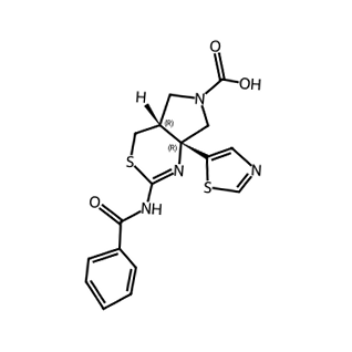 O=C(NC1=N[C@@]2(c3cncs3)CN(C(=O)O)C[C@H]2CS1)c1ccccc1